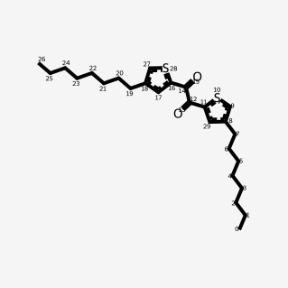 CCCCCCCCc1csc(C(=O)C(=O)c2cc(CCCCCCCC)cs2)c1